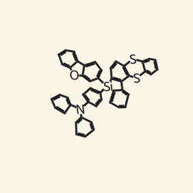 c1ccc(N(c2ccccc2)c2ccc([Si]3(c4ccc5c(c4)oc4ccccc45)c4ccccc4-c4c3ccc3c4Sc4ccccc4S3)cc2)cc1